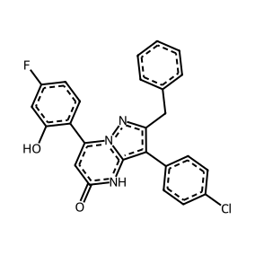 O=c1cc(-c2ccc(F)cc2O)n2nc(Cc3ccccc3)c(-c3ccc(Cl)cc3)c2[nH]1